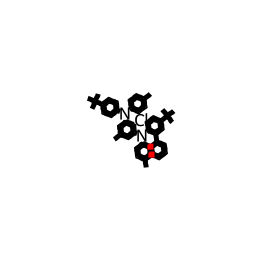 Cc1ccc(N(c2ccc(C(C)(C)C)cc2)c2cc(C)cc(N(c3ccc(C)cc3)c3ccc(C(C)(C)C)cc3-c3ccccc3)c2Cl)cc1